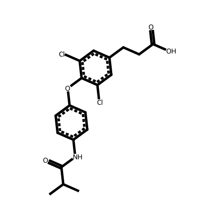 CC(C)C(=O)Nc1ccc(Oc2c(Cl)cc(CCC(=O)O)cc2Cl)cc1